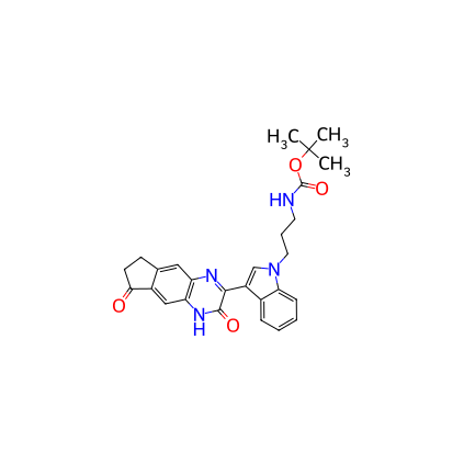 CC(C)(C)OC(=O)NCCCn1cc(-c2nc3cc4c(cc3[nH]c2=O)C(=O)CC4)c2ccccc21